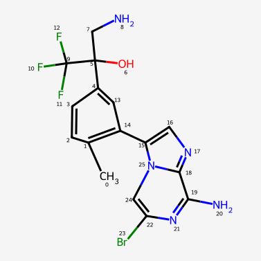 Cc1ccc(C(O)(CN)C(F)(F)F)cc1-c1cnc2c(N)nc(Br)cn12